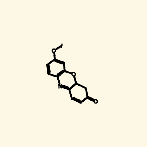 O=C1C=CC2=Nc3ccc(OI)cc3OC2C1